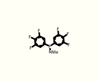 CNP(c1cc(F)c(F)c(F)c1)c1cc(F)c(F)c(F)c1